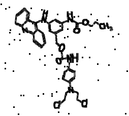 CCCOC(=O)Nc1cc(COC(=O)Nc2ccc(N(CCCl)CCCl)cc2)cc(Nc2c3ccccc3nc3ccccc23)c1